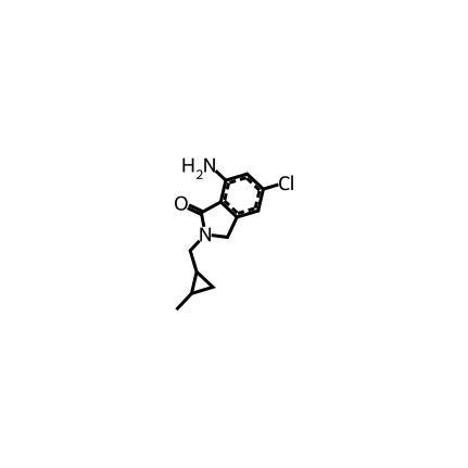 CC1CC1CN1Cc2cc(Cl)cc(N)c2C1=O